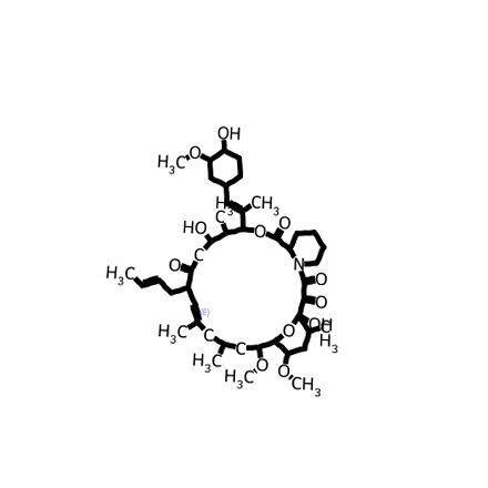 CC=CCC1/C=C(\C)CC(C)CC(OC)C2OC(O)(C(=O)C(=O)N3CCCCC3C(=O)OC(C(C)=CC3CCC(O)C(OC)C3)C(C)C(O)CC1=O)C(C)CC2OC